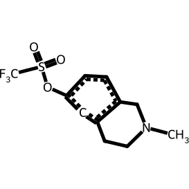 CN1CCc2cc(OS(=O)(=O)C(F)(F)F)ccc2C1